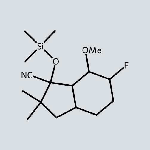 COC1C(F)CCC2CC(C)(C)C(C#N)(O[Si](C)(C)C)C21